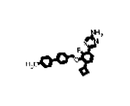 Cc1ccc(-c2ccc(COc3c(C4CCC4)ccc(-c4cnc(N)cn4)c3F)cc2)cc1